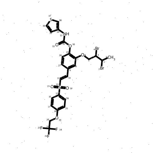 CC(Br)C(Br)COc1cc(/C=C/S(=O)(=O)c2ccc(OCC(F)(F)F)cc2)ccc1OC(=O)Nc1ccsc1